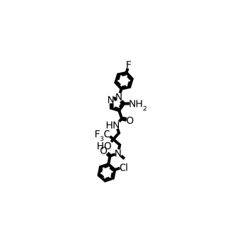 CN(CC(O)(CNC(=O)c1cnn(-c2ccc(F)cc2)c1N)C(F)(F)F)C(=O)c1ccccc1Cl